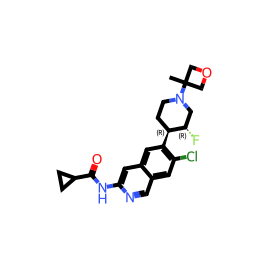 CC1(N2CC[C@H](c3cc4cc(NC(=O)C5CC5)ncc4cc3Cl)[C@@H](F)C2)COC1